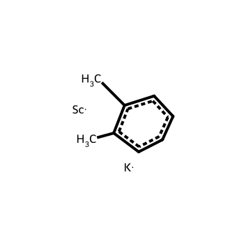 Cc1ccccc1C.[K].[Sc]